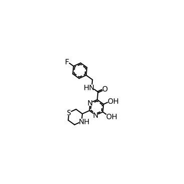 O=C(NCc1ccc(F)cc1)c1nc(C2CSCCN2)nc(O)c1O